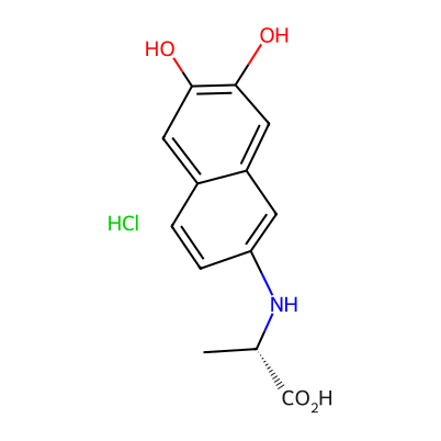 C[C@H](Nc1ccc2cc(O)c(O)cc2c1)C(=O)O.Cl